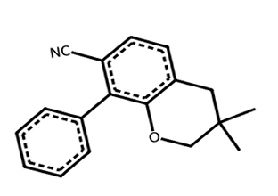 CC1(C)COc2c(ccc(C#N)c2-c2ccccc2)C1